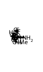 CNC(=O)c1cc(C(=O)NCCCN)cc2c1OCC2(CO)c1ccccc1.O=C(O)C(F)(F)F